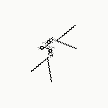 CCCCCCCCCCCCCCCCC(CCCCCCCCCCCCCC)COC(=O)C(C)Oc1ccc(-c2nc(-c3ccc(OC)cc3)nc(-c3ccc(OC(C)C(=O)OCC(CCCCCCCCCCCCCC)CCCCCCCCCCCCCCCC)cc3O)n2)c(O)c1